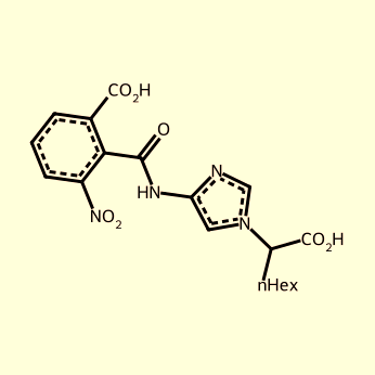 CCCCCCC(C(=O)O)n1cnc(NC(=O)c2c(C(=O)O)cccc2[N+](=O)[O-])c1